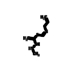 C=CC/N=C\SC(=C)NNC